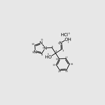 Cl.ON=CC(O)(Cn1cncn1)c1ccccc1